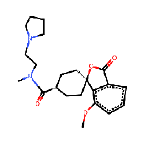 COc1cccc2c1[C@]1(CC[C@H](C(=O)N(C)CCN3CCCC3)CC1)OC2=O